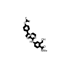 CNC(=O)c1ccc(Nc2nccn3c(-c4ccc(OC(F)F)cc4)cnc23)cc1CO